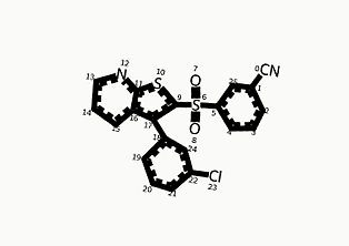 N#Cc1cccc(S(=O)(=O)c2sc3ncccc3c2-c2cccc(Cl)c2)c1